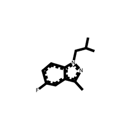 Cc1nn(CC(C)C)c2ccc(F)cc12